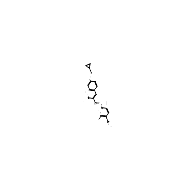 Cc1nc(N[C@@H](C)c2cc3cc(Cl)c(OCC4CC4)cc3[nH]c2=O)ccc1C#N